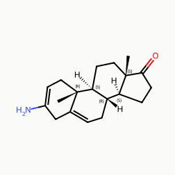 C[C@]12CC=C(N)CC1=CC[C@@H]1[C@@H]2CC[C@]2(C)C(=O)CC[C@@H]12